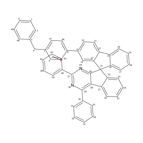 c1ccc(Cc2ccc(-c3ccc4c(c3)C3(c5ccccc5-4)c4ccccc4-c4c(-c5ccccc5)nc(-c5ccccc5)nc43)cc2)cc1